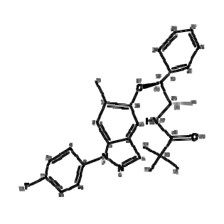 Cc1cc2c(cnn2-c2ccc(F)cc2)cc1O[C@@H](c1ccccc1)[C@H](C)NC(=O)C(C)(C)C